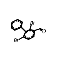 O=Cc1ccc(Br)c(-c2ccccc2)c1Br